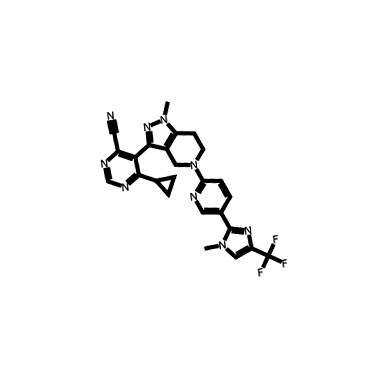 Cn1cc(C(F)(F)F)nc1-c1ccc(N2CCc3c(c(-c4c(C#N)ncnc4C4CC4)nn3C)C2)nc1